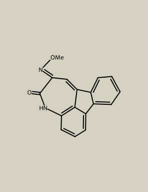 CON=c1cc2c3c(cccc3[nH]c1=O)-c1ccccc1-2